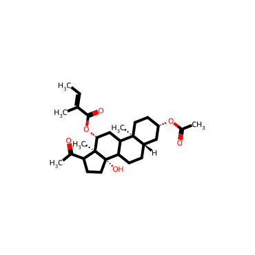 C/C=C(\C)C(=O)O[C@@H]1CC2C(CC[C@H]3C[C@@H](OC(C)=O)CC[C@]23C)[C@@]2(O)CCC(C(C)=O)[C@@]12C